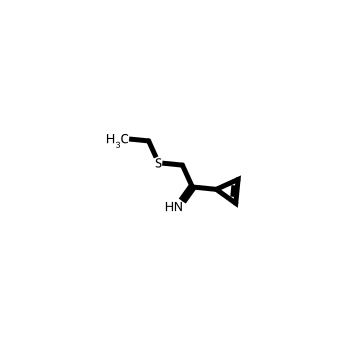 CCSCC(=N)C1C=C1